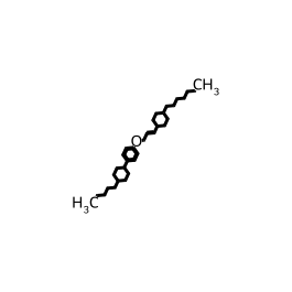 CCCCCCCC1CCC(C=CCOc2ccc(C3CCC(CCCCC)CC3)cc2)CC1